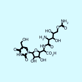 NC(=O)OCC(O)C(O)C(N)C(=O)NC(C(=O)O)C1OC(n2cc(CO)c(=O)[nH]c2=O)C(O)C1O